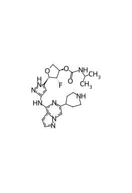 CC(C)NC(=O)O[C@@H]1CO[C@H](c2cc(Nc3nc(C4CCNCC4)cn4nccc34)n[nH]2)[C@H]1F